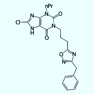 CCCn1c(=O)n(CCCc2nc(Cc3ccccc3)no2)c(=O)c2[nH]c(Cl)nc21